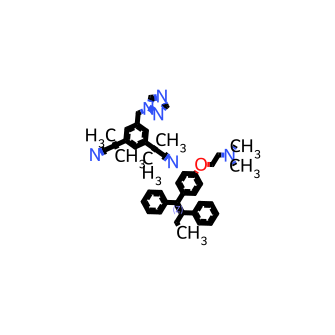 CC(C)(C#N)c1cc(Cn2cncn2)cc(C(C)(C)C#N)c1.CC/C(=C(\c1ccccc1)c1ccc(OCCN(C)C)cc1)c1ccccc1